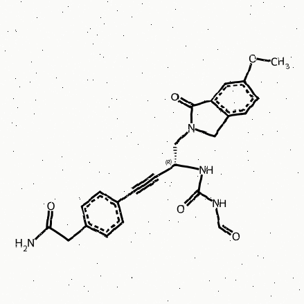 COc1ccc2c(c1)C(=O)N(C[C@@H](C#Cc1ccc(CC(N)=O)cc1)NC(=O)NC=O)C2